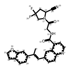 CC(=Cc1ccc2nccc(C(=O)NCC(=O)N3CC(F)(F)CC3C#N)c2c1)c1ccc2ccoc2c1